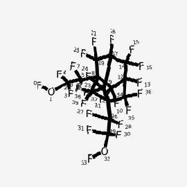 FOC(F)(F)C(F)(F)C12C(F)(F)C3(F)C(F)(F)C(F)(C1(F)F)C(F)(F)C(C(F)(F)C(F)(F)OF)(C3(F)F)C2(F)F